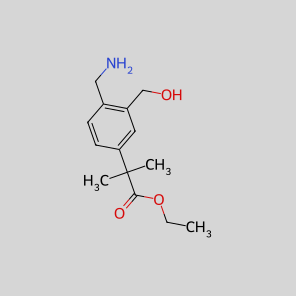 CCOC(=O)C(C)(C)c1ccc(CN)c(CO)c1